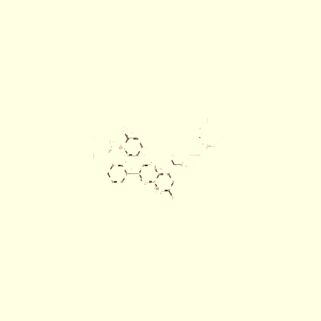 CCN(CC)CCNC(=O)c1cc(=O)[nH]c2nc(-c3ccccc3)c(-c3ccc(=O)n(C(C)C)c3)nc12